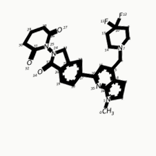 Cn1ccc2c(CN3CCC(F)(F)CC3)cc(-c3ccc4c(c3)CN(N3C(=O)CCCC3=O)C4=O)nc21